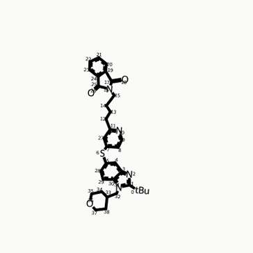 CC(C)(C)c1nc2cc(Sc3ccnc(CCCCN4C(=O)c5ccccc5C4=O)c3)ccc2n1CC1CCOCC1